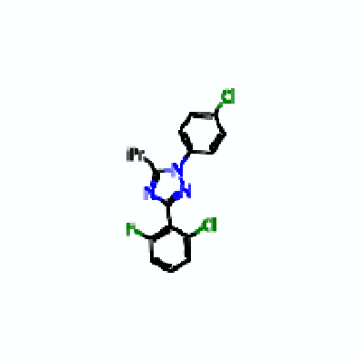 CC(C)c1nc(-c2c(F)cccc2Cl)nn1-c1ccc(Cl)cc1